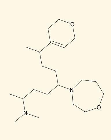 CC(CCC(CCC(C)N(C)C)N1CCCOCC1)C1=CCOCC1